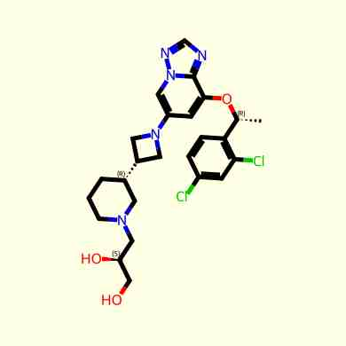 C[C@@H](Oc1cc(N2CC([C@H]3CCCN(C[C@H](O)CO)C3)C2)cn2ncnc12)c1ccc(Cl)cc1Cl